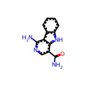 NC(=O)c1cnc(N)c2c1[nH]c1ccccc12